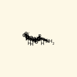 Cc1cc([N+](=O)[O-])ccc1NC(=O)Nc1nc(=O)c(-c2ccc(CNCCCN)c(F)c2)c[nH]1